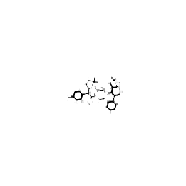 CC1(C)CCC(C(C(=O)N2CCN(c3c(-c4ccccc4)cnc4[nH]ncc34)CC2)c2ccc(Cl)cc2)N1